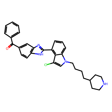 O=C(c1ccccc1)c1ccc2[nH]c(-c3cccc4c3c(Cl)cn4CCCCC3CCNCC3)nc2c1